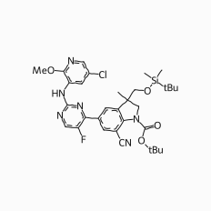 COc1ncc(Cl)cc1Nc1ncc(F)c(-c2cc(C#N)c3c(c2)C(C)(CO[Si](C)(C)C(C)(C)C)CN3C(=O)OC(C)(C)C)n1